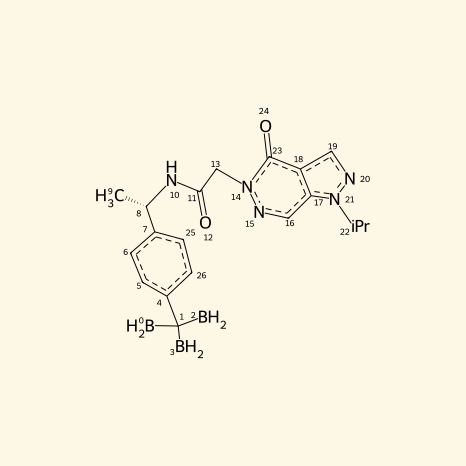 BC(B)(B)c1ccc([C@H](C)NC(=O)Cn2ncc3c(cnn3C(C)C)c2=O)cc1